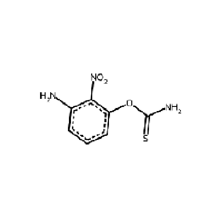 NC(=S)Oc1cccc(N)c1[N+](=O)[O-]